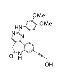 COc1ccc(Nc2ncc3c(n2)-c2ccc(C#CCO)cc2NC(=O)C3)cc1OC